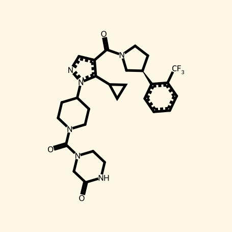 O=C1CN(C(=O)N2CCC(n3ncc(C(=O)N4CC[C@@H](c5ccccc5C(F)(F)F)C4)c3C3CC3)CC2)CCN1